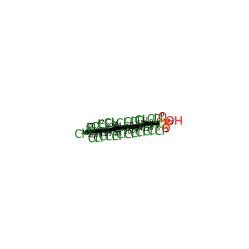 O=S(=O)(O)C(Cl)(Cl)C(Cl)(Cl)C(Cl)(Cl)C(Cl)(Cl)C(Cl)(Cl)C(Cl)(Cl)C(Cl)(Cl)C(Cl)(Cl)C(Cl)(Cl)C(Cl)(Cl)C(Cl)(Cl)C(Cl)(Cl)Cl